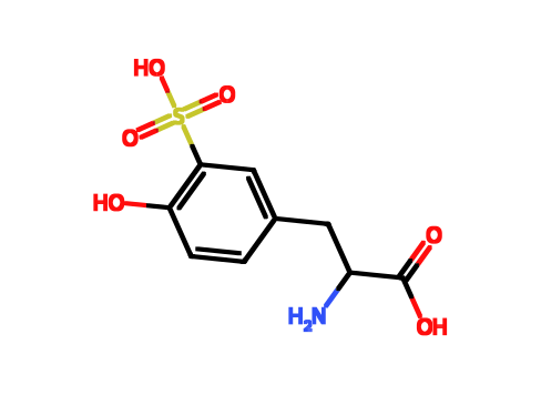 NC(Cc1ccc(O)c(S(=O)(=O)O)c1)C(=O)O